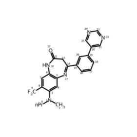 CCCN(C)c1cc2c(cc1C(F)(F)F)NC(=O)CC(c1cccc(-c3cncnc3)c1)=N2